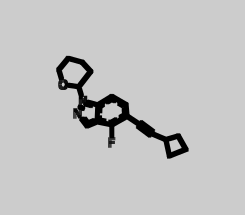 Fc1c(C#CC2CCC2)ccc2c1cnn2C1CCCCO1